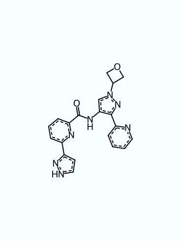 O=C(Nc1cn(C2COC2)nc1-c1ccccn1)c1cccc(-c2cc[nH]n2)n1